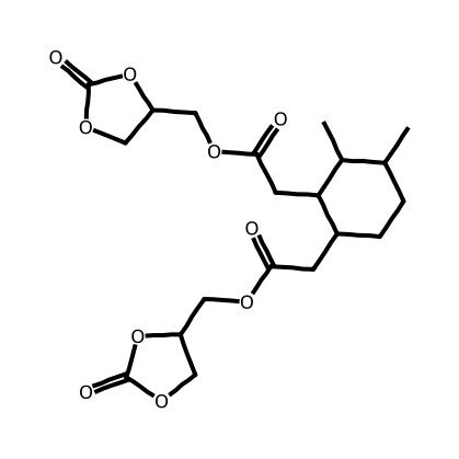 CC1CCC(CC(=O)OCC2COC(=O)O2)C(CC(=O)OCC2COC(=O)O2)C1C